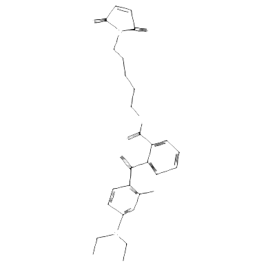 CCN(CC)c1ccc(C(=O)c2ccccc2C(=O)OCCCCCN2C(=O)C=CC2=O)c(O)c1